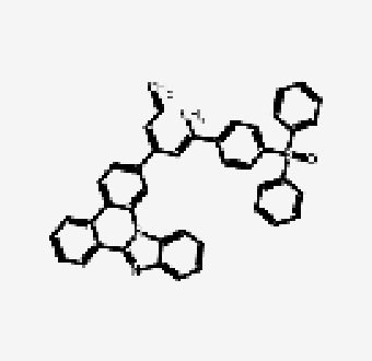 C=C/C=C(\C=C(/C)c1ccc(P(=O)(c2ccccc2)c2ccccc2)cc1)c1ccc2c3ccccc3c3nc4ccccc4n3c2c1